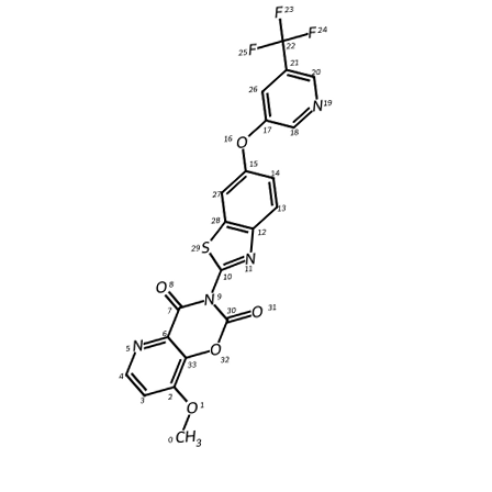 COc1ccnc2c(=O)n(-c3nc4ccc(Oc5cncc(C(F)(F)F)c5)cc4s3)c(=O)oc12